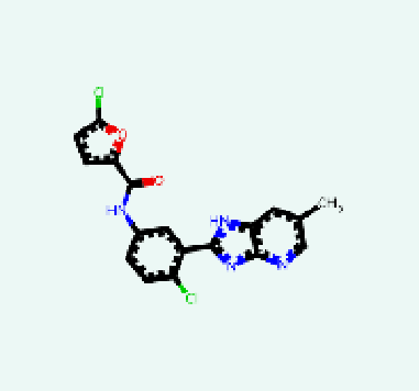 Cc1cnc2nc(-c3cc(NC(=O)c4ccc(Cl)o4)ccc3Cl)[nH]c2c1